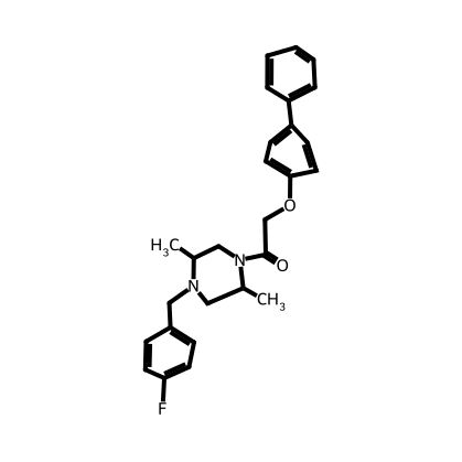 CC1CN(C(=O)COc2ccc(-c3ccccc3)cc2)C(C)CN1Cc1ccc(F)cc1